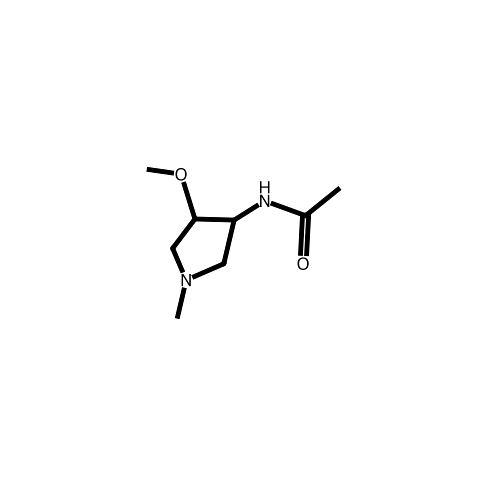 COC1CN(C)CC1NC(C)=O